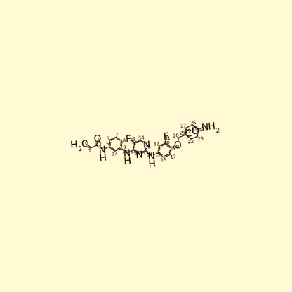 C=CC(=O)Nc1cccc(Nc2nc(Nc3ccc(OCC45CCC(N)(CC4)CC5)c(F)c3)ncc2F)c1